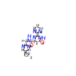 CC(NC(=O)c1cc(=O)[nH]c(-c2ncccn2)n1)c1ncc(C(F)(F)F)cn1